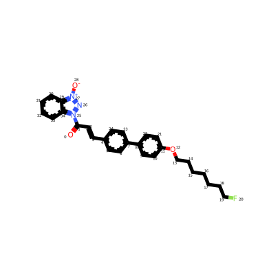 O=C(/C=C/c1ccc(-c2ccc(OCCCCCCCF)cc2)cc1)n1n[n+]([O-])c2ccccc21